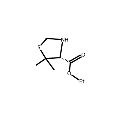 CCOC(=O)[C@H]1N[CH]SC1(C)C